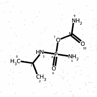 CC(C)NP(N)(=O)OC(N)=O